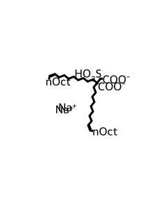 CCCCCCCC/C=C\CCCCCCCCC(CCCCCCCC/C=C\CCCCCCCC)(C(=O)[O-])C(C(=O)[O-])S(=O)(=O)O.[Na+].[Na+]